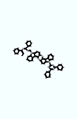 C/C=C(/N=C(\N=C\n1c2ccccc2c2c3c(ccc21)Sc1c(ccc2c1c1ccccc1n2-c1nc(-c2ccccc2)nc(-c2ccccc2)n1)S3)C1=CCCC=C1)c1ccccc1